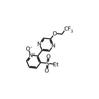 CCS(=O)(=O)c1ccc[n+]([O-])c1-c1cnc(OCC(F)(F)F)cn1